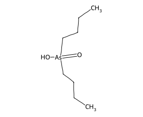 CCCC[As](=O)(O)CCCC